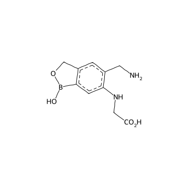 NCc1cc2c(cc1NCC(=O)O)B(O)OC2